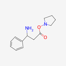 NC(CC(=O)ON1CCCC1)c1ccccc1